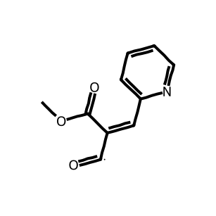 COC(=O)C([C]=O)=Cc1ccccn1